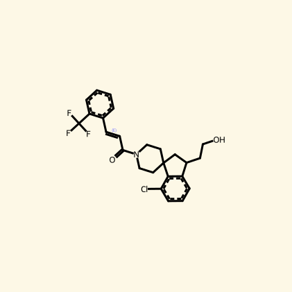 O=C(/C=C/c1ccccc1C(F)(F)F)N1CCC2(CC1)CC(CCO)c1cccc(Cl)c12